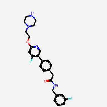 O=C(Cc1ccc(-c2cnc(OCCN3CCNCC3)cc2F)cc1)NCc1cccc(F)c1